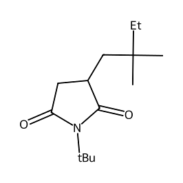 CCC(C)(C)CC1CC(=O)N(C(C)(C)C)C1=O